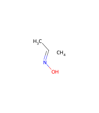 C.C/C=N/O